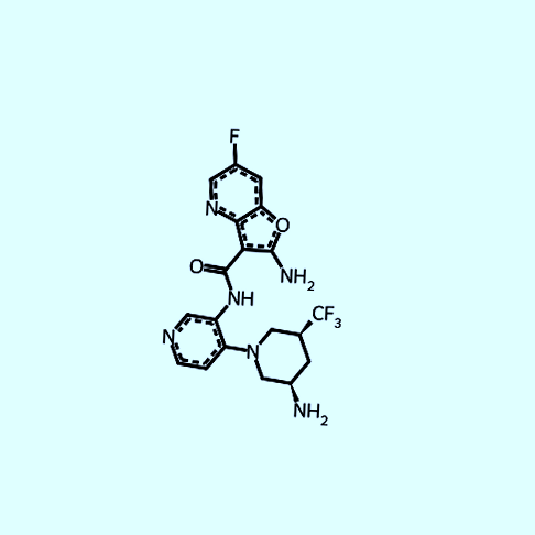 Nc1oc2cc(F)cnc2c1C(=O)Nc1cnccc1N1C[C@H](N)C[C@H](C(F)(F)F)C1